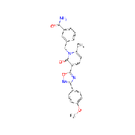 Cc1ccc(-c2nc(-c3ccc(OC(F)(F)F)cc3)no2)c(=O)n1Cc1cccc(C(N)=O)c1